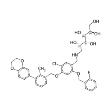 Cc1c(COc2cc(OCc3ccccc3F)c(CNC[C@H](O)[C@@H](O)[C@H](O)[C@H](O)CO)cc2Cl)cccc1-c1ccc2c(c1)OCCO2